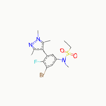 CCS(=O)(=O)N(C)c1cc(Br)c(F)c(-c2c(C)nn(C)c2C)c1